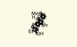 CCn1c(CO)nn(-c2cc3c(C(C)C)cn(-c4ccnc(OC)c4C)c(=O)c3cc2F)c1=O